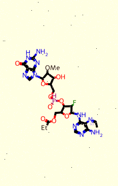 C/C=N\c1c(N)ncnc1NC1OC(COC(=O)CC)C(O[PH](=O)OCC2OC(n3cnc4c(=O)[nH]c(N)nc43)C(OC)C2O)C1F